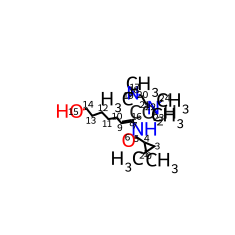 CC1(C)CC1C(=O)NC(=CCCCCCO)C(=O)O.CN(C)CCN(C)C